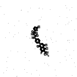 CNc1c(F)cc2c(=O)n(-c3ccc(NC(=O)NS(=O)(=O)c4ccc(Cl)s4)cc3)cc(Cl)c2c1Cl